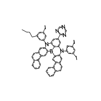 CCCCc1cc(I)cc(N2c3cc4ccc5ccccc5c4cc3B3c4cc5c(ccc6ccccc65)cc4N(c4cc(I)cc(I)c4)c4cc(-c5ncncn5)cc2c43)c1